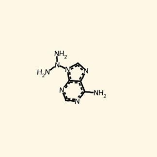 Nc1ncnc2c1ncn2N(N)N